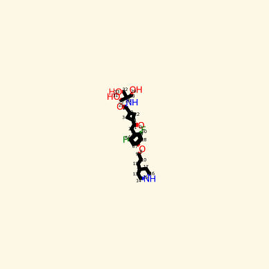 O=C(Cc1c(F)cc(OCCCC2CCNCC2)cc1F)C1CC(C(=O)NC(CO)(CO)CO)C1